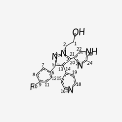 OCCn1nc(-c2ccc(F)cc2)c(-c2ccncc2)c1-c1c[nH]cn1